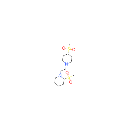 CS(=O)(=O)C1CCN(CCN2CCCCC2S(C)(=O)=O)CC1